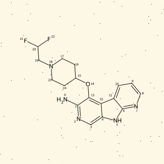 Nc1ncc2[nH]c3ncccc3c2c1OC1CCN(CC(F)F)CC1